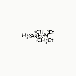 CCN(CC)CC.[CH3][Al]([CH3])[CH3]